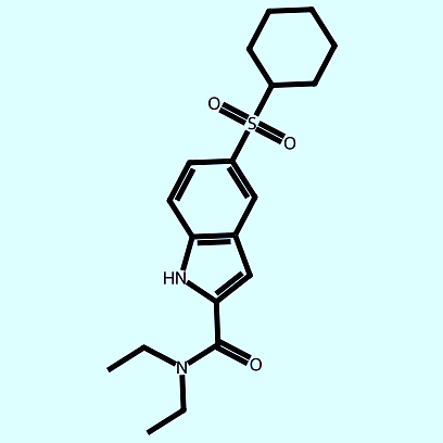 CCN(CC)C(=O)c1cc2cc(S(=O)(=O)C3CCCCC3)ccc2[nH]1